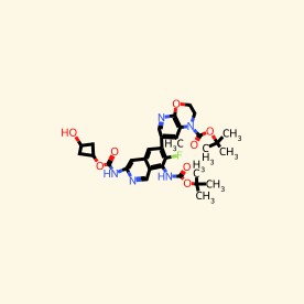 Cc1c(-c2cc3cc(NC(=O)OC4CC(O)C4)ncc3c(NC(=O)OC(C)(C)C)c2F)cnc2c1N(C(=O)OC(C)(C)C)CCO2